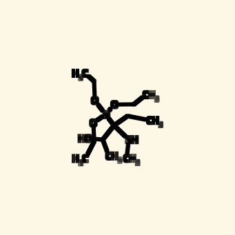 CCO[Si](OCC)(OCC)C(CC)(NC)C(C)O